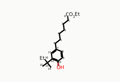 CCOC(=O)CCCCCCc1ccc(O)c(C(C)(C)CC)c1